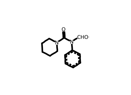 O=[C]N(C(=O)N1CCCCC1)c1ccccc1